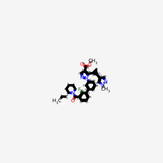 CCC[C@@H]1CCCCN1C(=O)c1cccc(-c2cccc(-n3ncc(C(=O)OC)c3C3CC3c3cnn(C)c3)c2)c1F